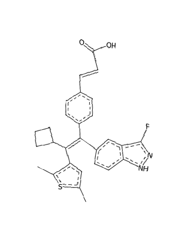 Cc1cc(C(=C(c2ccc(C=CC(=O)O)cc2)c2ccc3[nH]nc(F)c3c2)C2CCC2)c(C)s1